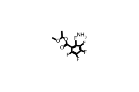 COC(C)OC(=O)c1c(F)c(F)c(F)c(F)c1F.N